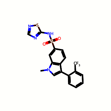 Cn1cc(-c2ccccc2C(F)(F)F)c2ccc(S(=O)(=O)Nc3ncns3)cc21